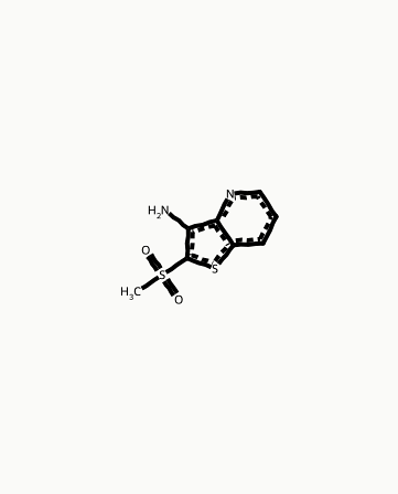 CS(=O)(=O)c1sc2cccnc2c1N